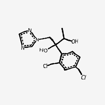 CC(O)C(O)(Cn1cncn1)c1ccc(Cl)cc1Cl